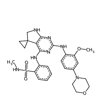 CNS(=O)(=O)c1ccccc1Nc1nc(Nc2ccc(N3CCOCC3)cc2OC)nc2c1C1(CC1)CN2